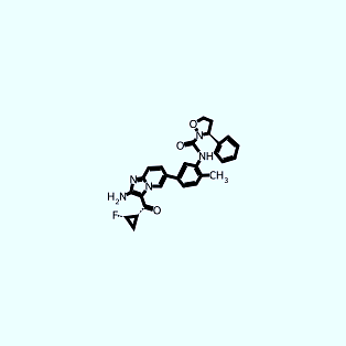 Cc1ccc(-c2ccc3nc(N)c(C(=O)[C@@H]4C[C@@H]4F)n3c2)cc1NC(=O)N1OCC[C@H]1c1ccccc1